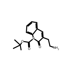 CC(C)(C)OC(=O)n1c(=O)c(CCN)cc2ccccc21